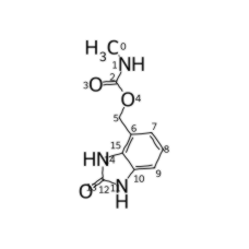 CNC(=O)OCc1cccc2[nH]c(=O)[nH]c12